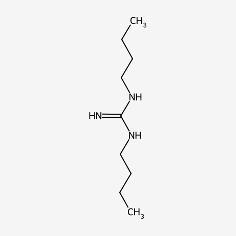 CCCCNC(=N)NCCCC